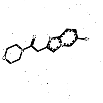 O=C(Cc1cn2cc(Br)ccc2n1)N1CCOCC1